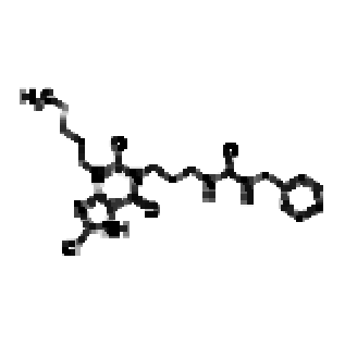 CCCCCn1c(=O)n(CCCNC(=O)NCc2ccccc2)c(=O)c2[nH]c(Cl)nc21